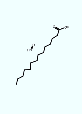 CCCCCCCCCCCCCC(=O)O.N=O